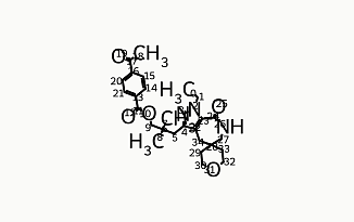 CCn1nc(CC(C)(C)COC(=O)c2ccc(C(C)=O)cc2)c2c1C(=O)NCC1(CCOCC1)C2